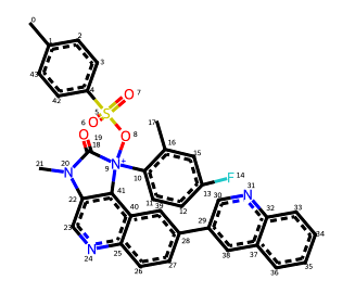 Cc1ccc(S(=O)(=O)O[N+]2(c3ccc(F)cc3C)C(=O)N(C)c3cnc4ccc(-c5cnc6ccccc6c5)cc4c32)cc1